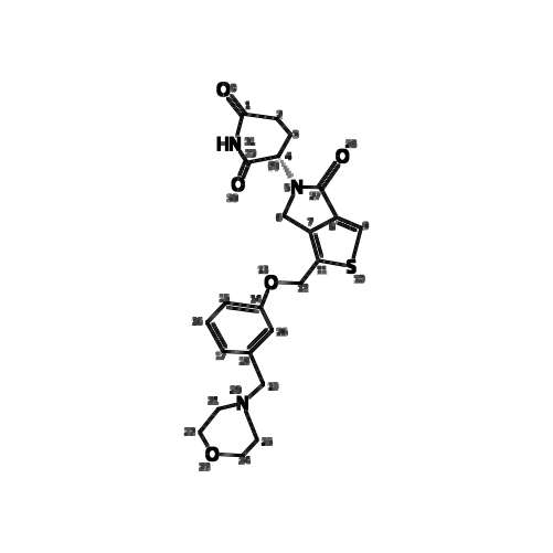 O=C1CC[C@H](N2Cc3c(csc3COc3cccc(CN4CCOCC4)c3)C2=O)C(=O)N1